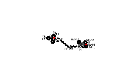 CCN(CC)c1ccc2c(-c3ccccc3C(=O)N3CCN(C(=O)CCCCCCCn4cc(CCCOC(=O)NC(Cc5ccc(NC(=N)N)cc5)P(=O)(Oc5ccc(NC(C)=O)cc5)Oc5ccc(NC(C)=O)cc5)nn4)CC3)c3ccc(=[N+](CC)CC)cc-3oc2c1.[Cl-]